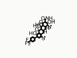 CN(C)c1cc(-c2ccc(C(F)(F)F)cc2)c(O)c2c1C[C@H]1C[C@H]3[C@H](N(C)C)C(O)=C(C(N)=O)C(=O)[C@@]3(O)C(O)=C1C2=O